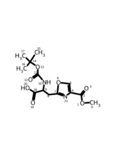 COC(=O)c1coc(CC(NC(=O)OC(C)(C)C)C(=O)O)n1